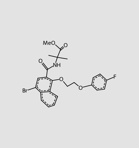 COC(=O)C(C)(C)NC(=O)c1cc(Br)c2ccccc2c1OCCOc1ccc(F)cc1